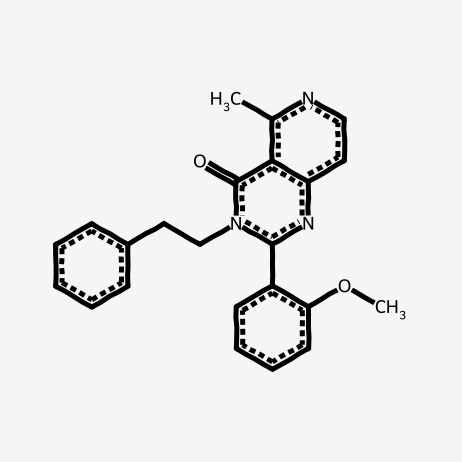 COc1ccccc1-c1nc2ccnc(C)c2c(=O)n1CCc1ccccc1